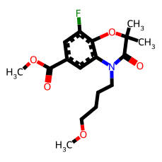 COCCCCN1C(=O)C(C)(C)Oc2c(F)cc(C(=O)OC)cc21